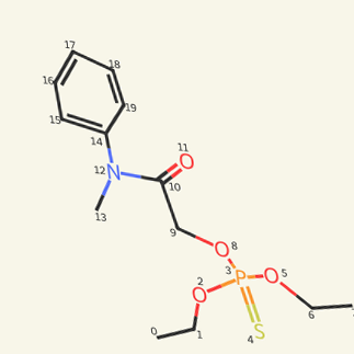 CCOP(=S)(OCC)OCC(=O)N(C)c1ccccc1